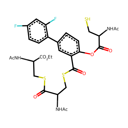 CCOC(=O)C(CSC(=O)C(CSC(=O)c1cc(-c2ccc(F)cc2F)ccc1OC(=O)C(CS)NC(C)=O)NC(C)=O)NC(C)=O